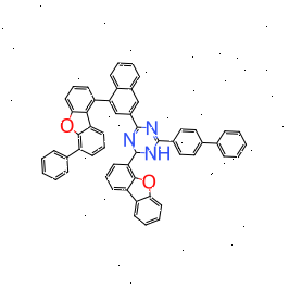 c1ccc(-c2ccc(C3=NC(c4cc(-c5cccc6oc7c(-c8ccccc8)cccc7c56)c5ccccc5c4)=NC(c4cccc5c4oc4ccccc45)N3)cc2)cc1